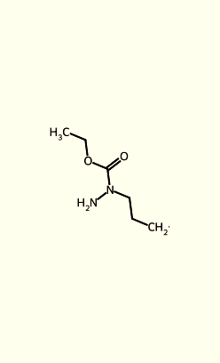 [CH2]CCN(N)C(=O)OCC